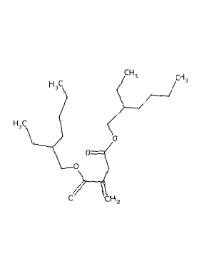 C=C(CC(=O)OCC(CC)CCCC)C(=O)OCC(CC)CCCC